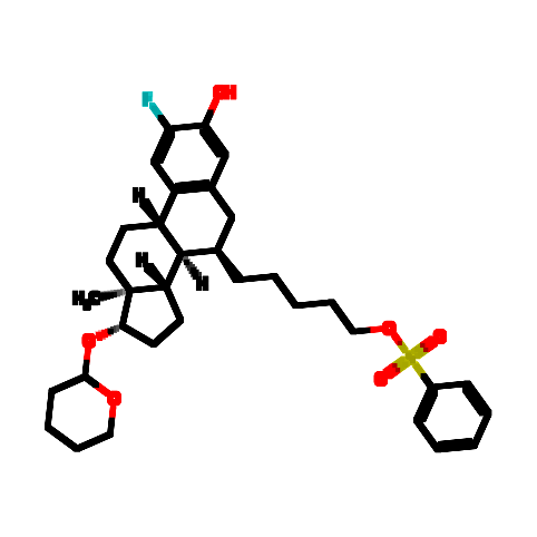 C[C@]12CC[C@@H]3c4cc(F)c(O)cc4C[C@@H](CCCCCOS(=O)(=O)c4ccccc4)[C@H]3[C@@H]1CC[C@@H]2OC1CCCCO1